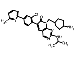 Cc1cccc(-c2ccc(-c3cc4cnc(NC(C)C)nc4n(CC4CCC(N)CC4)c3=O)c(Cl)c2)n1